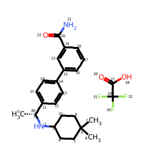 C[C@@H](NC1CCC(C)(C)CC1)c1ccc(-c2cccc(C(N)=O)c2)cc1.O=C(O)C(F)(F)F